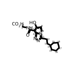 O=C(O)CNC(=O)c1c(O)ccn2c(CCC3CCCCC3)nnc12